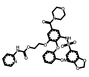 COc1ccccc1Oc1c(NS(=O)(=O)c2ccc3c(c2)OCO3)cc(C(=O)N2CCOCC2)cc1OCCOC(=O)Nc1ccccn1